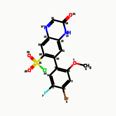 COc1cc(Br)c(F)cc1-c1cc2[nH]c(=O)cnc2cc1S(=O)(=O)Cl